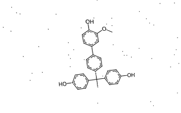 COc1cc(-c2ccc(C(C)(c3ccc(O)cc3)c3ccc(O)cc3)cc2)ccc1O